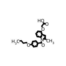 CCCCOc1ccc(C(=O)n2c(C)cc3c(OCC(=O)O)cccc32)cc1